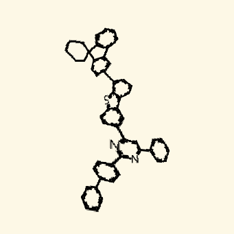 c1ccc(-c2ccc(-c3nc(-c4ccccc4)cc(-c4ccc5sc6c(-c7ccc8c(c7)-c7ccccc7C87CCCCC7)cccc6c5c4)n3)cc2)cc1